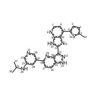 Cc1ccc(-c2ccnc3[nH]c(-c4n[nH]c5ccc(-c6cncc(NC(C)C)c6)nc45)nc23)s1